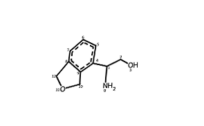 NC(CO)c1cccc2c1COC2